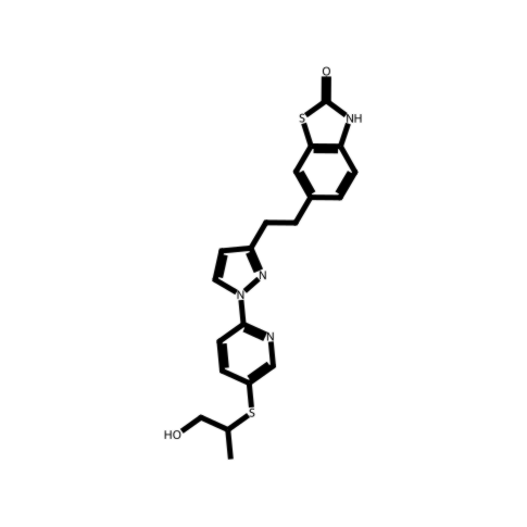 CC(CO)Sc1ccc(-n2ccc(CCc3ccc4[nH]c(=O)sc4c3)n2)nc1